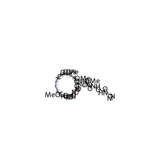 CO[C@H]1C[C@@H]2CC[C@@H](C)[C@@](O)(O2)C(=O)C(=O)N2CCCC[C@H]2C(=O)O[C@H]([C@H](N)C[C@@H]2CC[C@@H](OC(=O)NCCOCCC(=O)NCc3cnc(C)nc3)[C@H](OC)C2)C[C@@H](OC)[C@H](C)/C=C(\C)[C@@H](O)[C@@H](OC)C(=O)[C@H](C)C[C@H](C)/C=C/C=C/C=C/1C